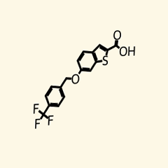 O=C(O)c1cc2ccc(OCc3ccc(C(F)(F)F)cc3)cc2s1